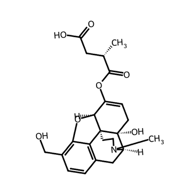 C[C@@H](CC(=O)O)C(=O)OC1=CC[C@@]2(O)[C@H]3Cc4ccc(CO)c5c4[C@@]2(CCN3C)[C@H]1O5